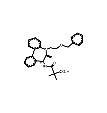 CC(C)(C(=O)O)C(=O)N[C@@H]1C(=O)N(CCOCc2ccccc2)c2ccccc2-c2ccccc21